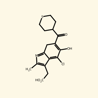 CC1=C(CC(=O)O)C2=C(Cl)C(O)=C(C(=O)C3CCSCC3)CC2=N1